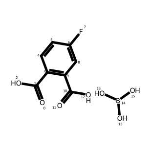 O=C(O)c1ccc(F)cc1C(=O)O.OB(O)O